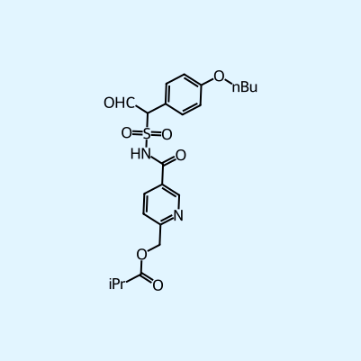 CCCCOc1ccc(C(C=O)S(=O)(=O)NC(=O)c2ccc(COC(=O)C(C)C)nc2)cc1